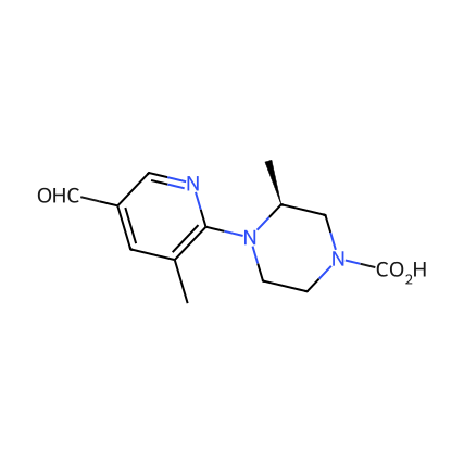 Cc1cc(C=O)cnc1N1CCN(C(=O)O)C[C@@H]1C